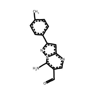 Cc1ccc(-c2cc3ncc(C=O)c(N)n3n2)cc1